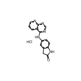 Cl.O=C1Cc2cc(Nc3ncnc4ncccc34)ccc2N1